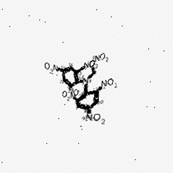 O=[N+]([O-])OCN(c1c([N+](=O)[O-])cc([N+](=O)[O-])cc1[N+](=O)[O-])c1c([N+](=O)[O-])cc([N+](=O)[O-])cc1[N+](=O)[O-]